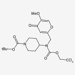 COc1coc(CN(C(=O)OCC(Cl)(Cl)Cl)C2CCN(C(=O)OC(C)(C)C)CC2)cc1=O